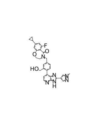 Cn1cc(-c2nc3c(-c4ccc(CN5CCOc6cc(C7CC7)cc(F)c6C5=O)cc4CO)ccnc3[nH]2)cn1